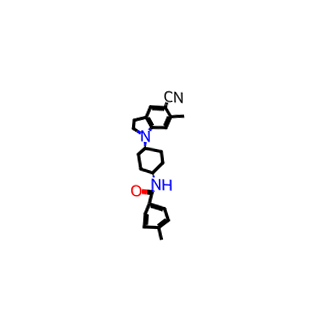 Cc1ccc(C(=O)N[C@H]2CC[C@H](N3CCc4cc(C#N)c(C)cc43)CC2)cc1